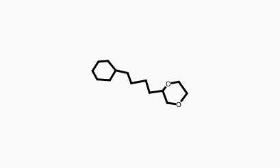 C1CC[C](CCCCC2COCCO2)CC1